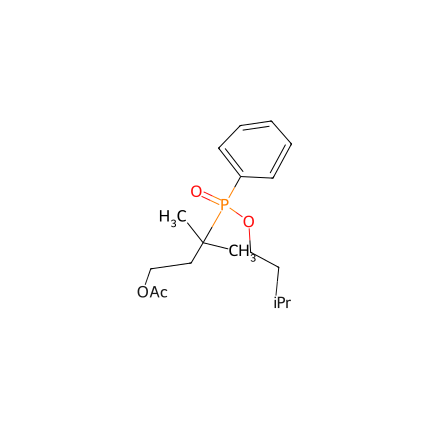 CC(=O)OCCC(C)(C)P(=O)(OCCC(C)C)c1ccccc1